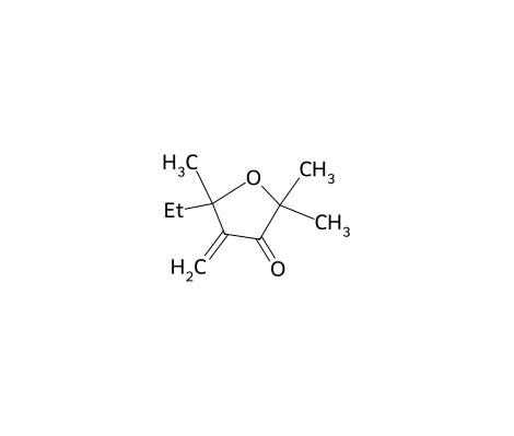 C=C1C(=O)C(C)(C)OC1(C)CC